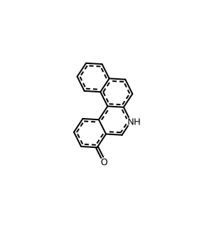 O=c1cccc2c3c(ccc4ccccc43)[nH]cc1-2